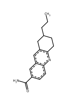 CCCC1CCc2nc3ccc(C(N)=O)cc3cc2C1